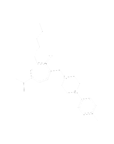 CCCCOc1cc(C(C)C)ccc(CN2CCN(c3ccc(C)cc3)CC2)c1=O